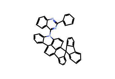 c1ccc(-c2nc(N3c4ccccc4-c4ccc5c6c(ccc3c46)C3(c4ccccc4-c4ccccc43)c3ccccc3-5)c3ccccc3n2)cc1